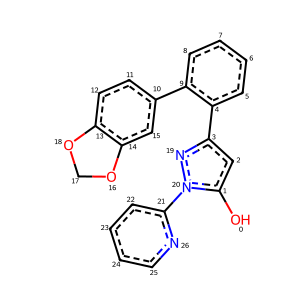 Oc1cc(-c2ccccc2-c2ccc3c(c2)OCO3)nn1-c1ccccn1